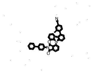 Cc1cc(C#N)ccc1-c1cccc2c1c1ccccc1n2-c1cccc2c1C(=O)N(c1ccc(-c3ccccc3)cc1)C2=O